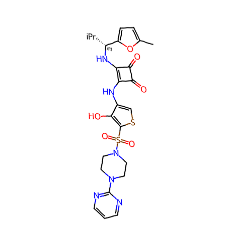 Cc1ccc([C@H](Nc2c(Nc3csc(S(=O)(=O)N4CCN(c5ncccn5)CC4)c3O)c(=O)c2=O)C(C)C)o1